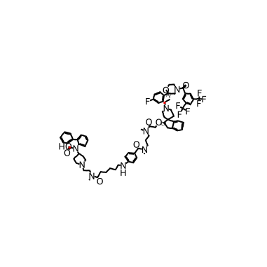 CN(CCN1CCC(N(C(=O)O)c2ccccc2-c2ccccc2)CC1)C(=O)CCCCCNc1ccc(C(=O)N(C)CCCN(C)C(=O)CO[C@H]2Cc3ccccc3C23CCN(CC[C@@]2(c4ccc(F)cc4)CN(C(=O)c4cc(C(F)(F)F)cc(C(F)(F)F)c4)CCO2)CC3)cc1